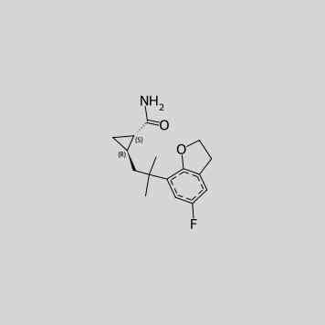 CC(C)(C[C@H]1C[C@@H]1C(N)=O)c1cc(F)cc2c1OCC2